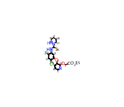 CCOC(=O)COc1ncccc1Oc1cc(NC(=S)N2CCCCN2)c(F)cc1Cl